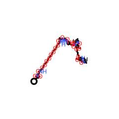 COc1cc2c(cc1OCCCCCOc1cc3c(cc1OC)C(=O)N1C=C(C)C[C@H]1[C@H](O)N3C(=O)OCc1ccc(NC(=O)C(C)NC(=O)[C@@H](NC(=O)CCOCCOCCOCCOCCOCCOCCOCCOCCNC(=O)CCN3C(=O)CC(C4=C/C=C\C=C/C=C\C=C/C=C\4)C3=O)C(C)C)cc1)N=C[C@@H]1CC(C)=CN1C2=O